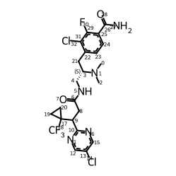 CN(C)[C@H](CNC(=O)CC(c1ncc(Cl)cn1)C1(C(F)(F)F)CC1)Cc1ccc(C(N)=O)c(F)c1Cl